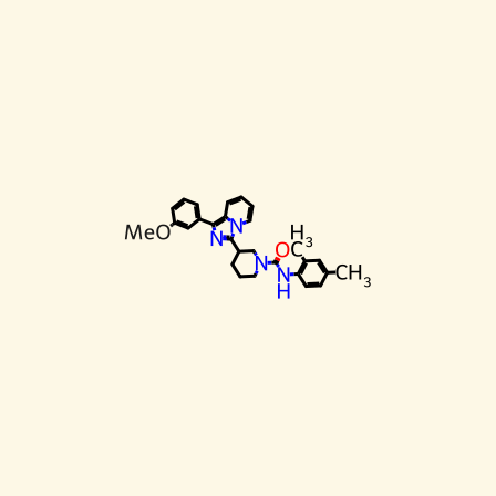 COc1cccc(-c2nc(C3CCCN(C(=O)Nc4ccc(C)cc4C)C3)n3ccccc23)c1